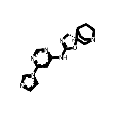 c1cn(-c2cc(NC3=NC[C@]4(CN5CCC4CC5)O3)ncn2)cn1